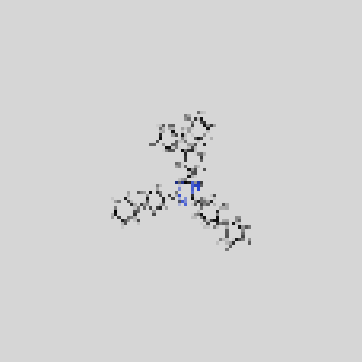 c1ccc(-c2ccc(-c3nc(-c4ccc(-c5ccccc5)cc4)nc(-c4ccc5c6ccccc6c6ccccc6c5c4)n3)cc2)cc1